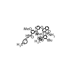 COc1cc(Nc2cc(Oc3ccc(N(C(N)=O)c4cc(C(C)(C)C)cc(NS(C)(=O)=O)c4OC)c4ccccc34)ccn2)cc(C(=O)NCCN2CCCN(C)CC2)c1